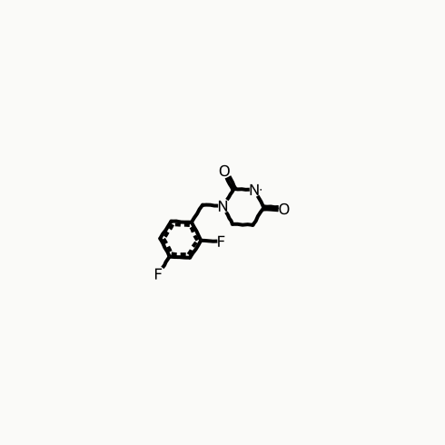 O=C1CCN(Cc2ccc(F)cc2F)C(=O)[N]1